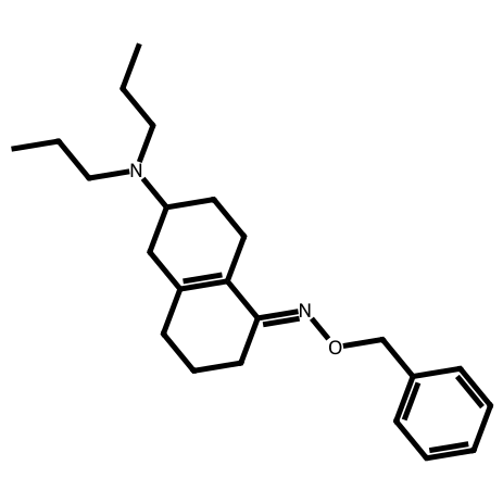 CCCN(CCC)C1CCC2=C(CCCC2=NOCc2ccccc2)C1